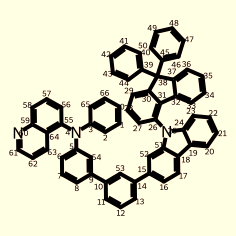 c1ccc(N(c2cccc(-c3cccc(-c4ccc5c6ccccc6n(-c6cccc7c6-c6ccccc6C7(c6ccccc6)c6ccccc6)c5c4)c3)c2)c2cccc3ncccc23)cc1